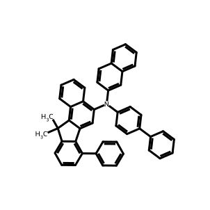 CC1(C)c2cccc(-c3ccccc3)c2-c2cc(N(c3ccc(-c4ccccc4)cc3)c3ccc4ccccc4c3)c3ccccc3c21